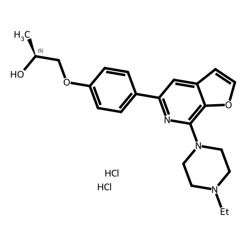 CCN1CCN(c2nc(-c3ccc(OC[C@H](C)O)cc3)cc3ccoc23)CC1.Cl.Cl